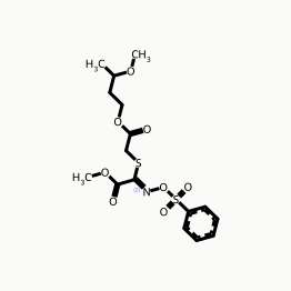 COC(=O)/C(=N/OS(=O)(=O)c1ccccc1)SCC(=O)OCCC(C)OC